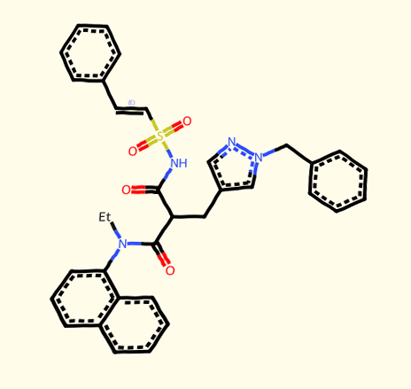 CCN(C(=O)C(Cc1cnn(Cc2ccccc2)c1)C(=O)NS(=O)(=O)/C=C/c1ccccc1)c1cccc2ccccc12